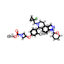 COc1cc(OC2CN(C(=O)OC(C)(C)C)C2)ccc1C1c2ccc3c(cnn3C3CCCCO3)c2CCN1CC1(F)CC1